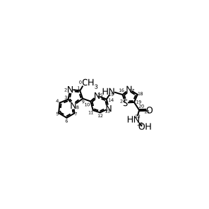 Cc1nc2ccccn2c1-c1ccnc(Nc2ncc(C(=O)NO)s2)n1